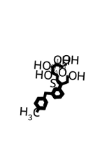 Cc1ccc(Cc2cccc3c(CCO)c(C4O[C@H](CO)[C@@H](O)[C@H](O)[C@H]4O)sc23)cc1